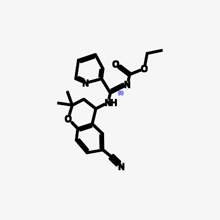 CCOC(=O)/N=C(/NC1CC(C)(C)Oc2ccc(C#N)cc21)c1ccccn1